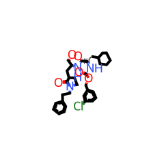 O=CC(CC1CCN(CCc2ccccc2)C1=O)NC(=O)[C@H](CC1CCCCC1)NC(=O)OCc1cccc(Cl)c1